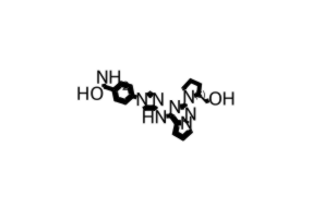 NC(O)c1ccc(-n2cnc(Nc3nc(N4CCC[C@H]4CO)nn4cccc34)c2)cc1